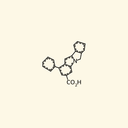 O=C(O)c1cc(-c2ccccc2)c2cc3n(c2c1)Cc1ccccc1-3